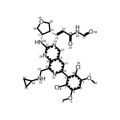 COc1cc(OC)c(Cl)c(-c2cc3cnc(N[C@@H]4COC[C@@H]4C=CC(=O)NC=O)nc3c(CNC3CC3)n2)c1Cl